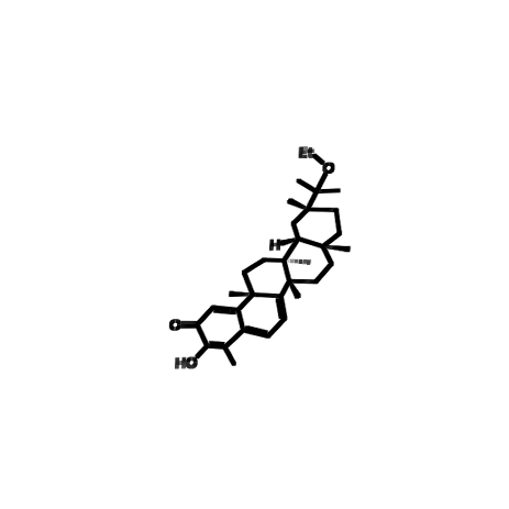 CCOC(C)(C)[C@]1(C)CC[C@]2(C)CC[C@]3(C)C4=CC=C5C(=CC(=O)C(O)=C5C)[C@]4(C)CC[C@@]3(C)[C@@H]2C1